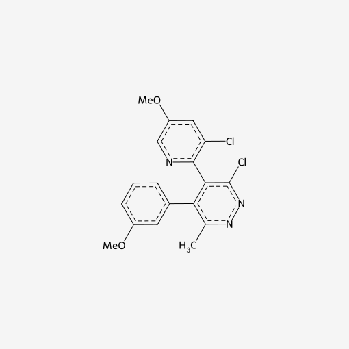 COc1cccc(-c2c(C)nnc(Cl)c2-c2ncc(OC)cc2Cl)c1